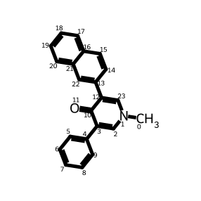 Cn1cc(-c2ccccc2)c(=O)c(-c2ccc3ccccc3c2)c1